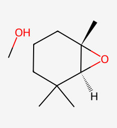 CC1(C)CCC[C@]2(C)O[C@@H]12.CO